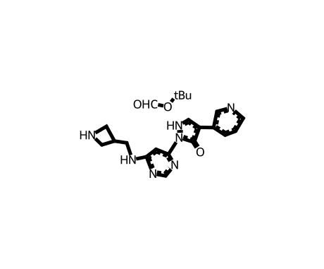 CC(C)(C)OC=O.O=c1c(-c2cccnc2)c[nH]n1-c1cc(NCC2CNC2)ncn1